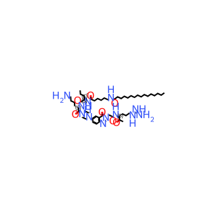 CCCCCCCCCCCCCCCC(=O)NCCCCCC(=O)N[C@H](C(=O)N[C@@H](CCCCN)C(=O)N1CCN(c2ccc3ncn(CC(=O)N[C@@H](CCCNC(=N)N)C(C)=O)c(=O)c3c2)CC1)[C@@H](C)CC